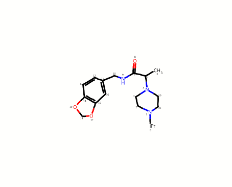 CC(C)N1CCN(C(C)C(=O)NCc2ccc3c(c2)OCO3)CC1